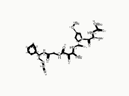 CCCCC(NC(=O)[C@@H]1C[C@@H](OC(C)(C)C)CN1C(=O)[C@@H](NC(=O)OCC(C)C)C(C)(C)C)C(=O)C(=O)NCC(=O)N[C@@H](CN=[N+]=[N-])c1ccccc1